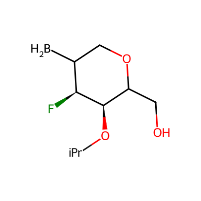 BC1COC(CO)[C@@H](OC(C)C)[C@H]1F